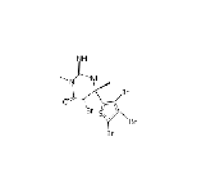 CN1C(=N)N[C@](C)(c2sc(Br)c(Br)c2Br)[C@H](Br)C1=O